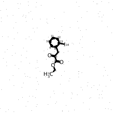 CCOC(=O)C(=O)Cc1ccccc1I